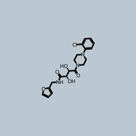 O=C(NCc1ccco1)[C@H](O)[C@@H](O)C(=O)N1CCN(c2ccccc2Cl)CC1